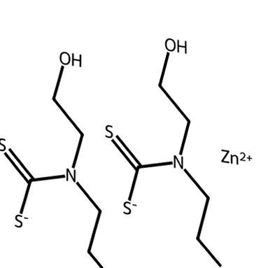 OCCN(CCO)C(=S)[S-].OCCN(CCO)C(=S)[S-].[Zn+2]